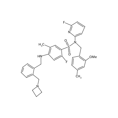 COc1cc(C)ccc1CN(c1cccc(F)n1)S(=O)(=O)c1cc(C)c(NCc2ccccc2CN2CCC2)cc1F